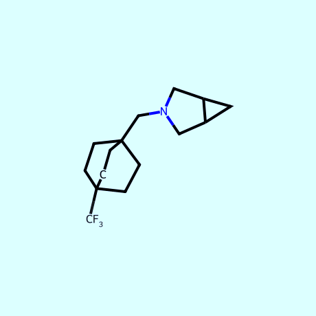 FC(F)(F)C12CCC(CN3CC4CC4C3)(CC1)CC2